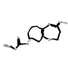 CC(=O)NC1=NC2=C(C[C@H](NC(=O)OC(C)(C)C)CCC2)SCC1